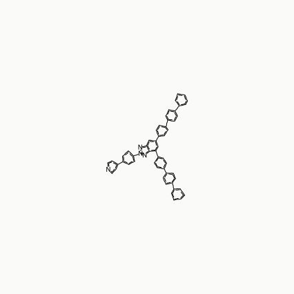 c1ccc(-c2ccc(-c3ccc(-c4cc(-c5ccc(-c6ccc(-c7ccccc7)cc6)cc5)c5nn(-c6ccc(-c7ccncc7)cc6)nc5c4)cc3)cc2)cc1